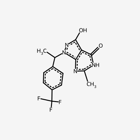 Cc1nc2c(c(O)nn2C(C)c2ccc(C(F)(F)F)cc2)c(=O)[nH]1